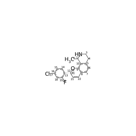 CC1NCCc2ccc3c(c21)O[C@@H](c1ccc(Cl)cc1F)C=C3